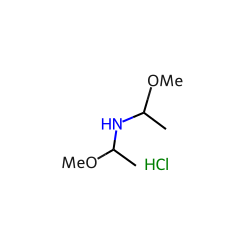 COC(C)NC(C)OC.Cl